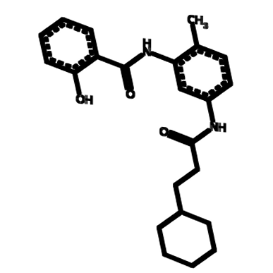 Cc1ccc(NC(=O)CCC2CCCCC2)cc1NC(=O)c1ccccc1O